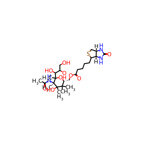 CC(=O)N[C@@]1(C)C(C)(C(O)C(O)CO)O[C@H](COC(=O)CCCCC2SC[C@@H]3NC(=O)N[C@H]23)C(C)(C)C1(C)O